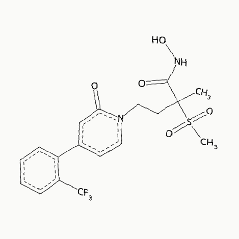 CC(CCn1ccc(-c2ccccc2C(F)(F)F)cc1=O)(C(=O)NO)S(C)(=O)=O